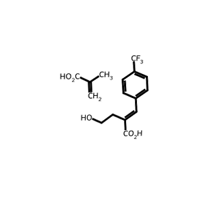 C=C(C)C(=O)O.O=C(O)C(=Cc1ccc(C(F)(F)F)cc1)CCO